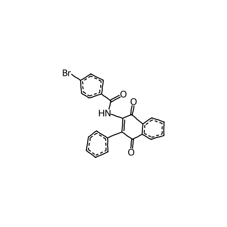 O=C(NC1=C(c2ccccc2)C(=O)c2ccccc2C1=O)c1ccc(Br)cc1